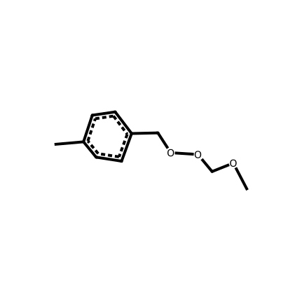 COCOOCc1ccc(C)cc1